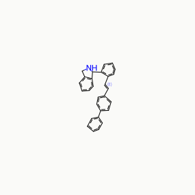 C(=C\c1ccccc1C1NCc2ccccc21)/c1ccc(-c2ccccc2)cc1